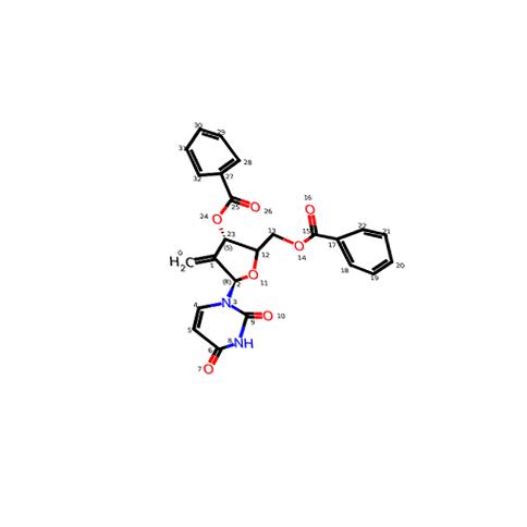 C=C1[C@H](n2ccc(=O)[nH]c2=O)OC(COC(=O)c2ccccc2)[C@H]1OC(=O)c1ccccc1